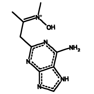 CC(Cc1nc(N)c2[nH]cnc2n1)=[N+](C)O